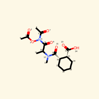 CC(=O)ON(C(C)=O)C(=O)C(C)N(C)C(=O)[C@H]1CCCC[C@H]1C(=O)O